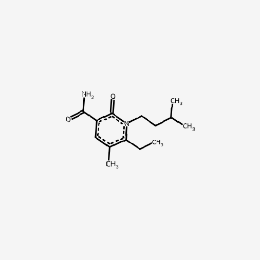 CCc1c(C)cc(C(N)=O)c(=O)n1CCC(C)C